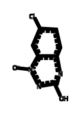 [O-][n+]1nc(O)nc2ccc(Cl)cc21